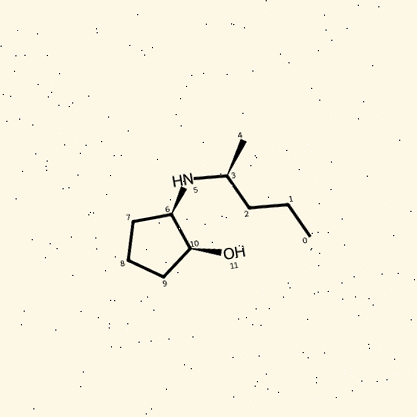 CCC[C@H](C)N[C@@H]1CCC[C@@H]1O